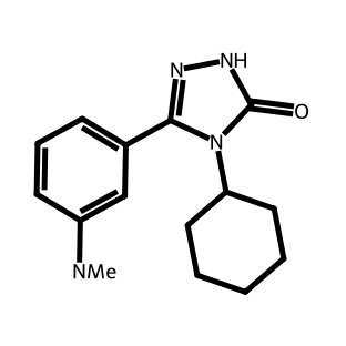 CNc1cccc(-c2n[nH]c(=O)n2C2CCCCC2)c1